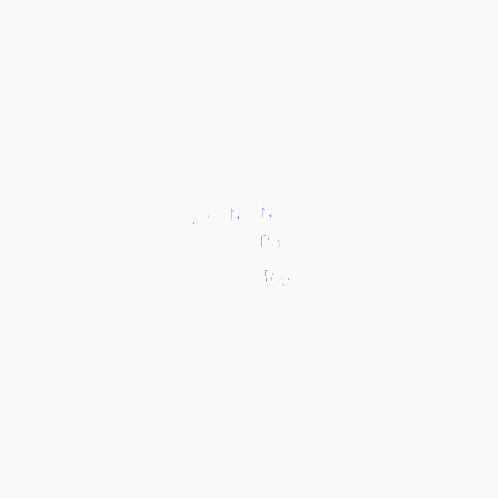 [N-3].[N-3].[Ra+2].[Ra+2].[Ra+2]